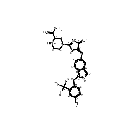 NC(=O)C1CN(C2=NC(=O)/C(=C/c3ccc4c(cnn4Cc4ccc(Cl)cc4C(F)(F)F)c3)S2)CCN1